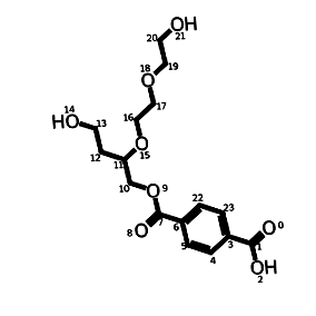 O=C(O)c1ccc(C(=O)OCC(CCO)OCCOCCO)cc1